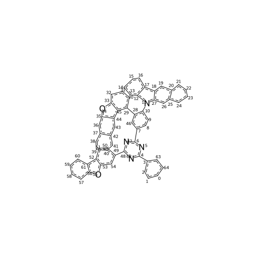 c1ccc(-c2nc(-c3ccc(-n4c5ccccc5c5cc6ccccc6cc54)c(-c4cccc5oc6cc7ccccc7cc6c45)c3)nc(-c3ccc4c(c3)oc3ccccc34)n2)cc1